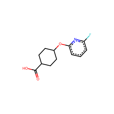 O=C(O)C1CCC(Oc2cccc(F)n2)CC1